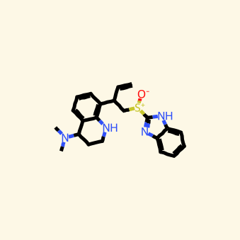 C=CC(C[S+]([O-])c1nc2ccccc2[nH]1)c1cccc2c1NCCC2N(C)C